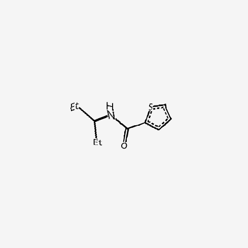 CCC(CC)NC(=O)c1cccs1